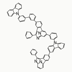 c1ccc(-c2nc3cccc4c5ccc(-c6ccc7c(c6)c6ccccc6n7-c6cccc(-c7cc8nc(-c9ccccc9)c9c%10cc(-c%11cccc(-c%12cccc(-n%13c%14ccccc%14c%14ccccc%14%13)c%12)c%11)ccc%10c(c7)n89)c6)cc5c2n34)cc1